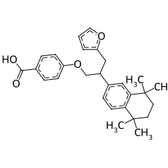 CC1(C)CCC(C)(C)c2cc(C(COc3ccc(C(=O)O)cc3)Cc3ccco3)ccc21